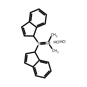 Cl.Cl.[CH3][Ge]([CH3])=[Ti]([CH]1C=Cc2ccccc21)[CH]1C=Cc2ccccc21